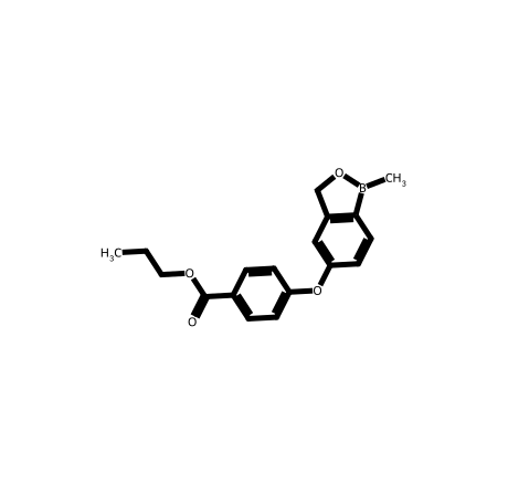 CCCOC(=O)c1ccc(Oc2ccc3c(c2)COB3C)cc1